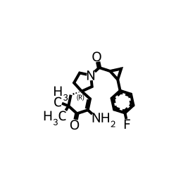 CC1(C)C[C@]2(C=C(N)C1=O)CCN(C(=O)C1CC1c1ccc(F)cc1)C2